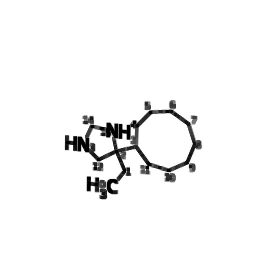 CCC1(C2CCCCCCCC2)CNCN1